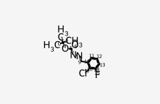 CC(C)(C)OC(=O)/N=N/Cc1cccc(F)c1Cl